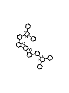 c1ccc(-c2cc(-c3ccccc3)nc(-c3cccc(-c4cccc5c4oc4cc6oc7c(-c8cccc(-c9nc(-c%10ccccc%10)cc(-c%10ccccc%10)n9)c8)cccc7c6cc45)c3)n2)cc1